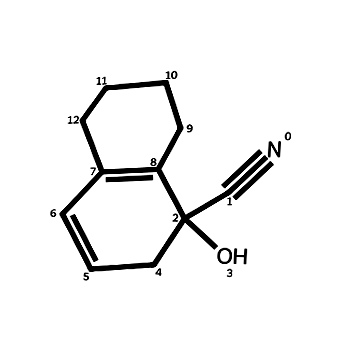 N#CC1(O)CC=CC2=C1CCCC2